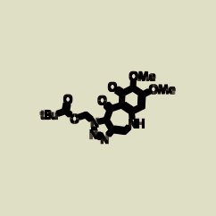 COC1=CC2=C(C(=O)C1OC)C(=O)C1C(=CN2)N=NN1COC(=O)C(C)(C)C